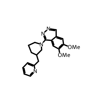 COc1cc2cnnc(N3CCCC(Cc4ccccn4)C3)c2cc1OC